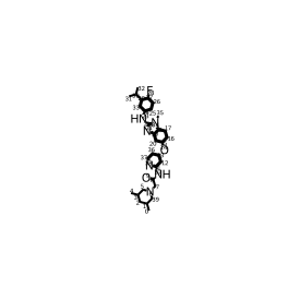 CC1CC(C)CN(CC(=O)Nc2cc(Oc3ccc4c(c3)nc(Nc3ccc(F)c(C(C)C)c3)n4C)ccn2)C1